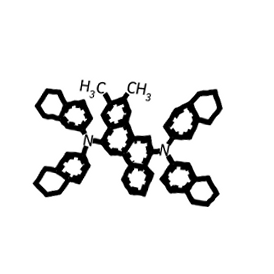 Cc1cc2c(N(c3ccc4c(c3)CCCC4)c3ccc4c(c3)CCCC4)cc3c4ccccc4c(N(c4ccc5c(c4)CCCC5)c4ccc5c(c4)CCCC5)cc3c2cc1C